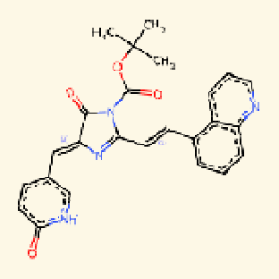 CC(C)(C)OC(=O)N1C(=O)/C(=C/c2ccc(=O)[nH]c2)N=C1/C=C/c1cccc2ncccc12